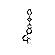 Cc1cccn(-c2ccc3nc([C@H]4C[C@H](N5CCCC5)C4)sc3c2)c1=O